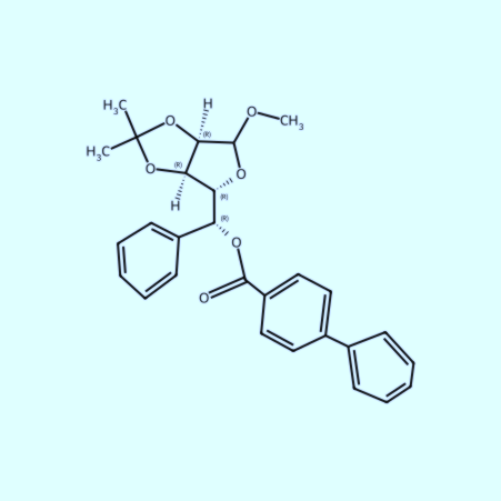 COC1O[C@H]([C@H](OC(=O)c2ccc(-c3ccccc3)cc2)c2ccccc2)[C@H]2OC(C)(C)O[C@@H]12